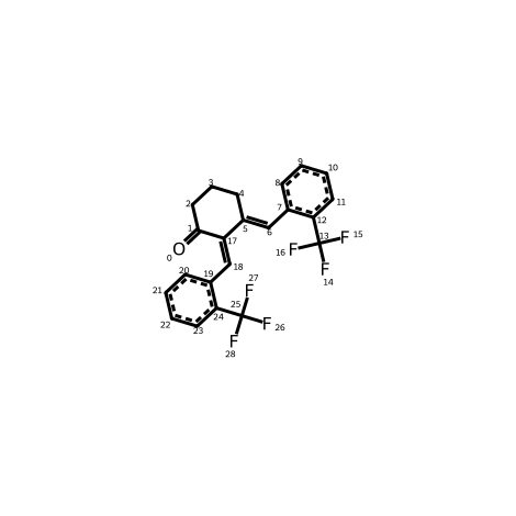 O=C1CCCC(=Cc2ccccc2C(F)(F)F)C1=Cc1ccccc1C(F)(F)F